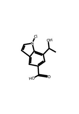 CC(O)c1cc(C(=O)O)cc2ccn(Cl)c12